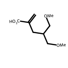 C=C(CC(COC)COC)C(=O)O